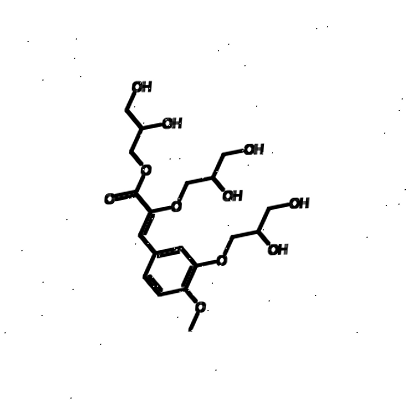 COc1ccc(C=C(OCC(O)CO)C(=O)OCC(O)CO)cc1OCC(O)CO